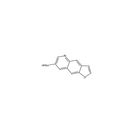 [CH2]CCCCCc1cnc2cc3ccoc3cc2c1